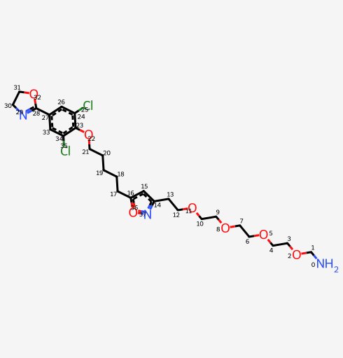 NCOCCOCCOCCOCCc1cc(CCCCCOc2c(Cl)cc(C3=NCCO3)cc2Cl)on1